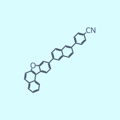 N#Cc1ccc(-c2ccc3cc(-c4ccc5c(c4)oc4ccc6ccccc6c45)ccc3c2)cc1